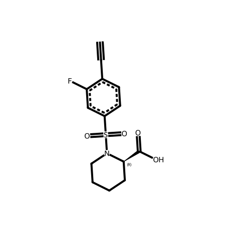 [C]#Cc1ccc(S(=O)(=O)N2CCCC[C@@H]2C(=O)O)cc1F